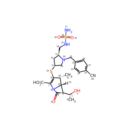 C[C@@H](O)[C@H]1C(=O)N2C(C(=O)O)=C(S[C@H]3C[C@@H](CNS(N)(=O)=O)N(Cc4ccc(C#N)cc4)C3)[C@H](C)[C@H]12